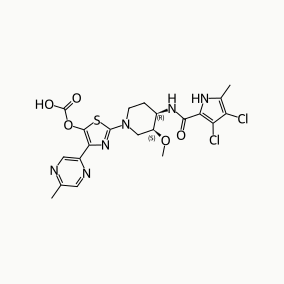 CO[C@H]1CN(c2nc(-c3cnc(C)cn3)c(OC(=O)O)s2)CC[C@H]1NC(=O)c1[nH]c(C)c(Cl)c1Cl